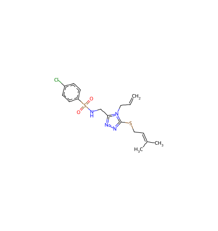 C=CCn1c(CNS(=O)(=O)c2ccc(Cl)cc2)nnc1SCC=C(C)C